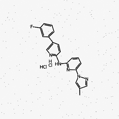 Cc1cnn(-c2cccc(Nc3ccc(-c4cccc(F)c4)cn3)n2)c1.Cl.Cl